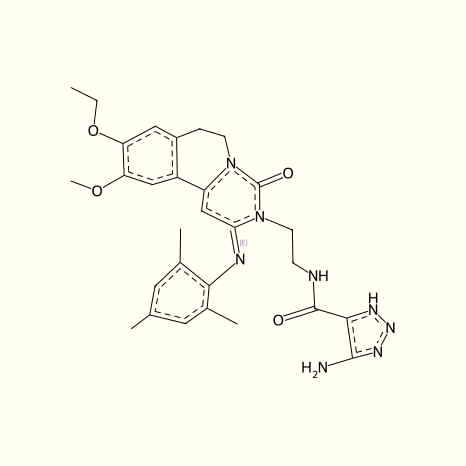 CCOc1cc2c(cc1OC)-c1c/c(=N\c3c(C)cc(C)cc3C)n(CCNC(=O)c3[nH]nnc3N)c(=O)n1CC2